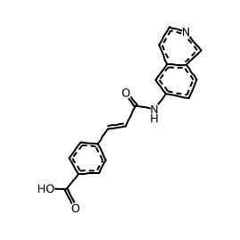 O=C(C=Cc1ccc(C(=O)O)cc1)Nc1ccc2cnccc2c1